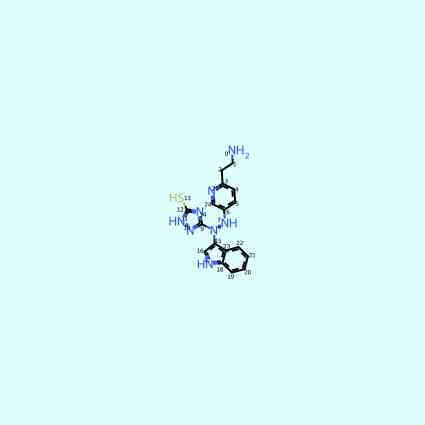 NCCc1ccc(NN(c2n[nH]c(S)n2)c2c[nH]c3ccccc23)cn1